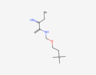 C=C(NCOCC[Si](C)(C)C)C(=N)CC(C)C